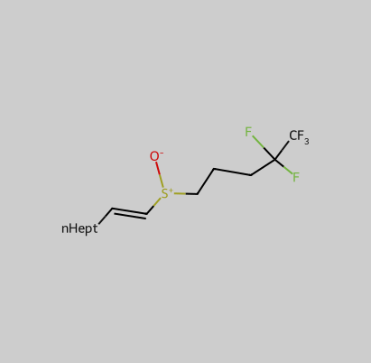 CCCCCCCC=C[S+]([O-])CCCC(F)(F)C(F)(F)F